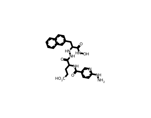 NNc1ccc(C(=O)NC(CCC(=O)O)C(=O)NNC(Cc2ccc3ccccc3c2)C(=O)NO)cn1